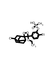 CCc1ccc(C2(OCC(F)(F)F)OOC23C2CC4CC3CC(Cl)(C4)C2)cc1OP(C)(=O)O